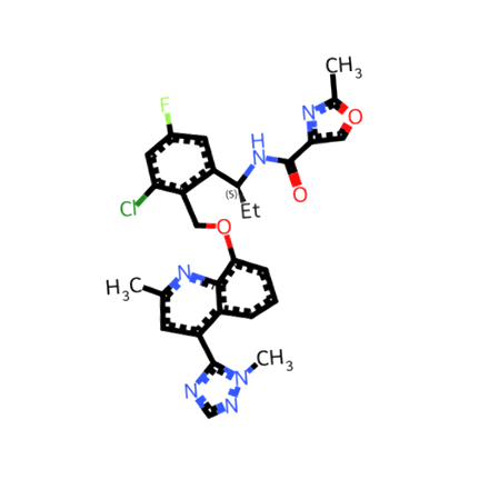 CC[C@H](NC(=O)c1coc(C)n1)c1cc(F)cc(Cl)c1COc1cccc2c(-c3ncnn3C)cc(C)nc12